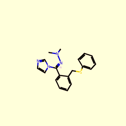 CN(C)/N=C(/c1ccccc1CSc1ccccc1)n1ccnc1